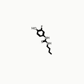 CCCCNC(=S)Nc1ccc(O)c(F)c1